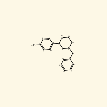 Fc1ccc(C2CN(Cc3ccccc3)CCO2)cc1